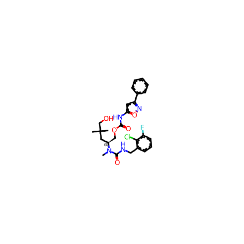 CN(C(=O)NCc1cccc(F)c1Cl)[C@H](COC(=O)Nc1cc(-c2ccccc2)no1)CC(C)(C)CO